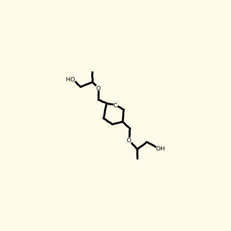 CC(CO)OCC1CCC(COC(C)CO)CC1